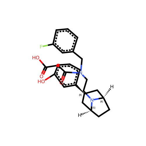 O=C(O)CC(=O)N(CCN1[C@@H]2CC[C@H]1C[C@@H](c1cccc(O)c1)C2)Cc1cccc(F)c1